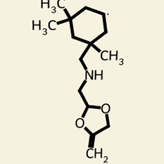 C=C1COC(CNCC2(C)C[CH]CC(C)(C)C2)O1